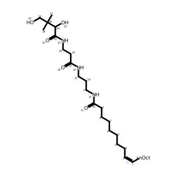 CCCCCCCC/C=C\CCCCCCCC(=O)NCCCNC(=O)CCNC(=O)C(O)C(C)(C)CO